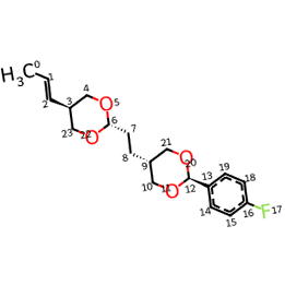 CC=C[C@H]1CO[C@H](CC[C@H]2CO[C@H](c3ccc(F)cc3)OC2)OC1